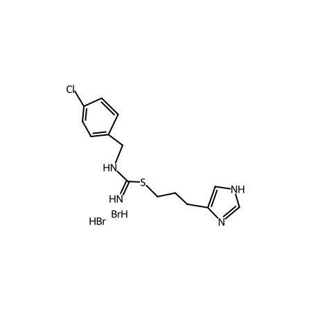 Br.Br.N=C(NCc1ccc(Cl)cc1)SCCCc1c[nH]cn1